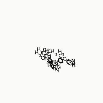 C=C(CN(C)C)C(=O)N1C[C@H]2CC[C@@H]1C[C@@H]2c1ccn2ncnc(Nc3ccc(Oc4ccn5ncnc5c4)c(C)c3)c12